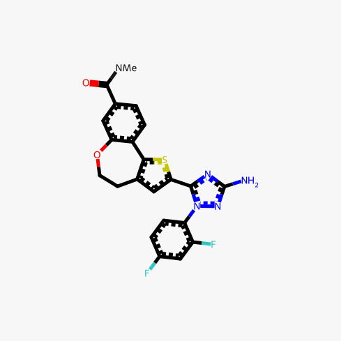 CNC(=O)c1ccc2c(c1)OCCc1cc(-c3nc(N)nn3-c3ccc(F)cc3F)sc1-2